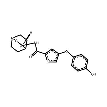 O=C(N[C@H]1CN2CCC1CC2)c1cc(Sc2ccc(O)cc2)cs1